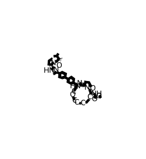 COC(=O)N[C@H]1CCCCCCCCOCc2[nH]c(nc2-c2ccc(-c3ccc(-c4c[nH]c([C@@H]5CCCN5C(=O)[C@@H](C)C(C)C)n4)cc3)cc2)[C@@H]2CCCN2C1=O